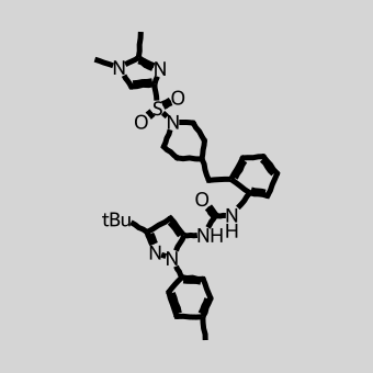 Cc1ccc(-n2nc(C(C)(C)C)cc2NC(=O)Nc2ccccc2CC2CCN(S(=O)(=O)c3cn(C)c(C)n3)CC2)cc1